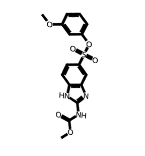 COC(=O)Nc1nc2cc(S(=O)(=O)Oc3cccc(OC)c3)ccc2[nH]1